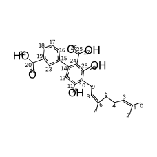 CC(C)=CCCC(C)=CCc1c(O)cc(-c2cccc(C(=O)O)c2)c(C(=O)O)c1O